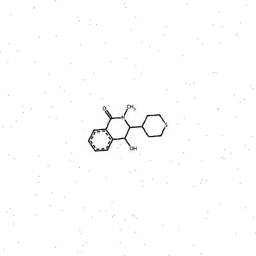 CN1C(=O)c2ccccc2C(O)C1C1CCSCC1